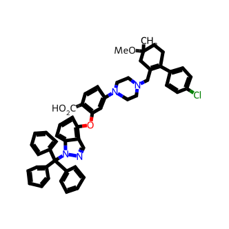 COC1(C)CCC(c2ccc(Cl)cc2)=C(CN2CCN(c3ccc(C(=O)O)c(Oc4cccc5c4cnn5C(c4ccccc4)(c4ccccc4)c4ccccc4)c3)CC2)C1